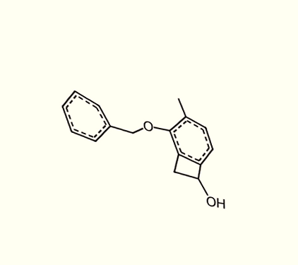 Cc1ccc2c(c1OCc1ccccc1)CC2O